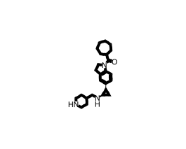 O=C(C1CCCCCC1)N1CCc2cc([C@@H]3C[C@H]3NCC3CCNCC3)ccc21